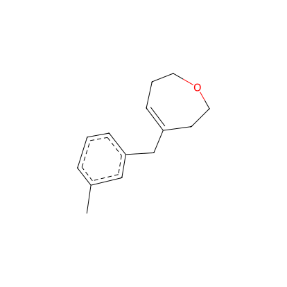 Cc1cccc(CC2=CCCOCC2)c1